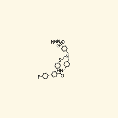 [N-]=[N+]=NS(=O)(=O)c1ccc(CN(CCSc2ccccc2)Cc2ccc(CNC(=O)c3ccc(-c4ccc(F)cc4)cc3)cc2)cc1